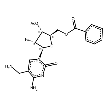 CC(=O)O[C@H]1[C@@H](F)[C@H](n2cc(CN)c(N)nc2=O)O[C@@H]1COC(=O)c1ccccc1